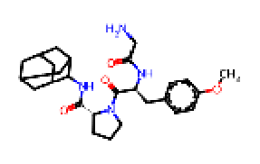 COc1ccc(C[C@H](NC(=O)CN)C(=O)N2CCC[C@@H]2C(=O)NC2C3CC4CC(C3)CC2C4)cc1